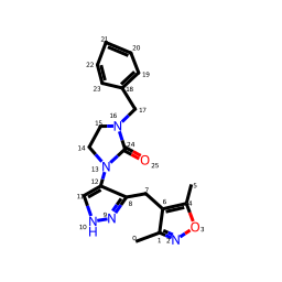 Cc1noc(C)c1Cc1n[nH]cc1N1CCN(Cc2ccccc2)C1=O